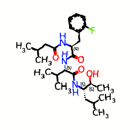 CC(C)CC(=O)N[C@@H](Cc1ccccc1F)C(=O)N[C@H](C(=O)N[C@@H](CC(C)C)[C@H](C)O)C(C)C